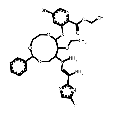 CCOC(=O)c1ncc(Br)cc1SC1OCCOC(c2ccccc2)OCC(N(N)/C=C(\N)c2nc(Cl)cs2)C1OCC